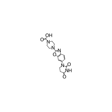 O=C1CCN(c2ccc3nc(N4CCN(C(=O)O)CC4)oc3c2)C(=O)N1